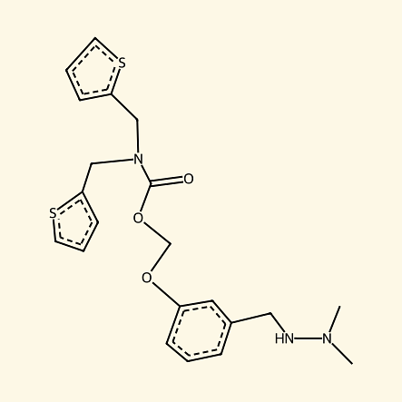 CN(C)NCc1cccc(OCOC(=O)N(Cc2cccs2)Cc2cccs2)c1